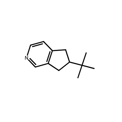 CC(C)(C)C1Cc2ccncc2C1